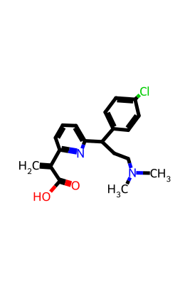 C=C(C(=O)O)c1cccc(C(CCN(C)C)c2ccc(Cl)cc2)n1